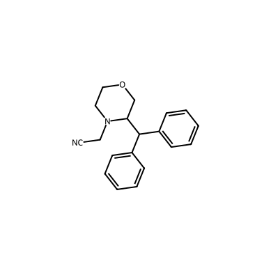 N#CCN1CCOCC1C(c1ccccc1)c1ccccc1